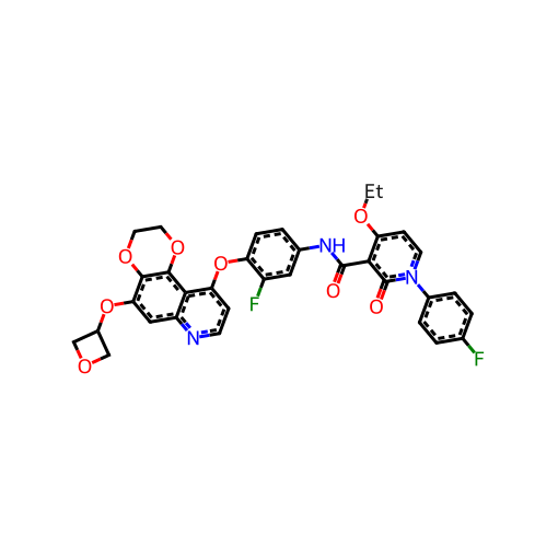 CCOc1ccn(-c2ccc(F)cc2)c(=O)c1C(=O)Nc1ccc(Oc2ccnc3cc(OC4COC4)c4c(c23)OCCO4)c(F)c1